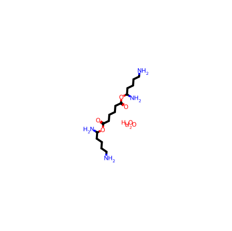 NCCCCC(N)OC(=O)CCCCC(=O)OC(N)CCCCN.O.O